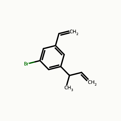 C=C[C](C)c1cc(Br)cc(C=C)c1